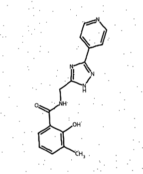 Cc1cccc(C(=O)NCc2nc(-c3ccncc3)n[nH]2)c1O